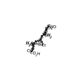 [C-]#[N+]/C(=C\c1cc2sc(-c3cc4c(s3)-c3sc(-c5ccc(-c6ccc(N(c7ccc(CC(CC)CCCC)cc7)c7ccc(-c8ccc(-c9cc%10c(s9)-c9sc(-c%11cc%12sc(/C=C(\C#N)OC=O)cc%12s%11)cc9[Si]%10(C)C)s8)cc7)cc6)s5)cc3[Si]4(C)C)cc2s1)C(=O)O